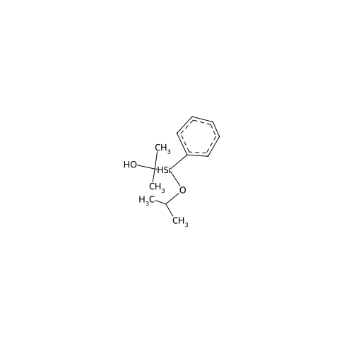 CC(C)O[SiH](c1ccccc1)C(C)(C)O